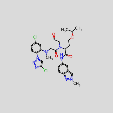 CC(C)OCCC(C(=O)Nc1ccc2nn(C)cc2c1)N(CC=O)C(=O)CN(C)c1cc(Cl)ccc1-n1cc(Cl)nn1